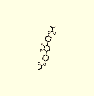 C=CC(=O)Oc1ccc(-c2ccc(-c3ccc(OC(=O)C(=C)C)cc3)c(F)c2F)cc1